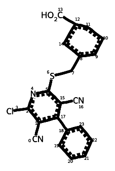 N#Cc1c(Cl)nc(SCc2cccc(C(=O)O)c2)c(C#N)c1-c1ccccc1